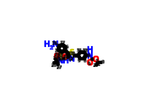 CC(C)OC(=O)NC1=CCC(c2ncc(-c3ccc(N)cc3S(=O)(=O)NC(C)(C)C)s2)C=C1